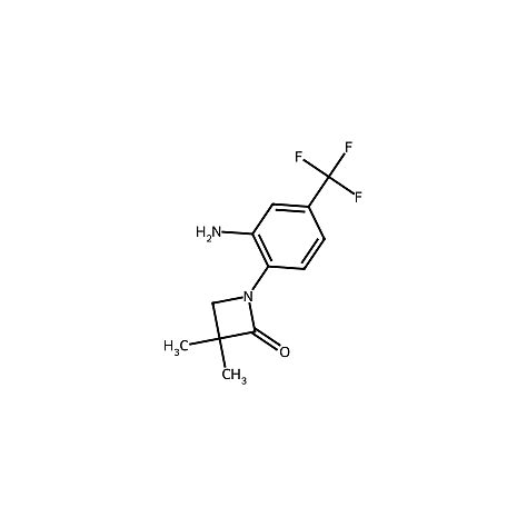 CC1(C)CN(c2ccc(C(F)(F)F)cc2N)C1=O